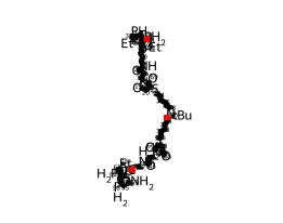 CCOC(C)(P)CC(COCCCNC(=O)CCN1C(=O)CC(SCCCCCCN(CCCCCCSC2CC(=O)N(CCC(=O)NCCCOCC(CC(C)(P)OCN)C(C)(P)OCC)C2=O)C(C)(C)C)C1=O)C(C)(P)OCC